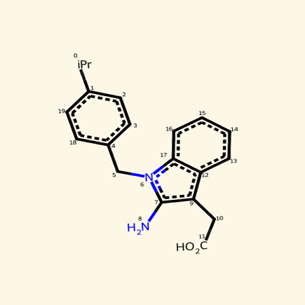 CC(C)c1ccc(Cn2c(N)c(CC(=O)O)c3ccccc32)cc1